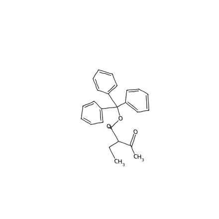 CCC(C(C)=O)C(=O)OC(c1ccccc1)(c1ccccc1)c1ccccc1